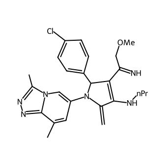 C=C1C(NCCC)=C(C(=N)COC)C(c2ccc(Cl)cc2)N1c1cc(C)c2nnc(C)n2c1